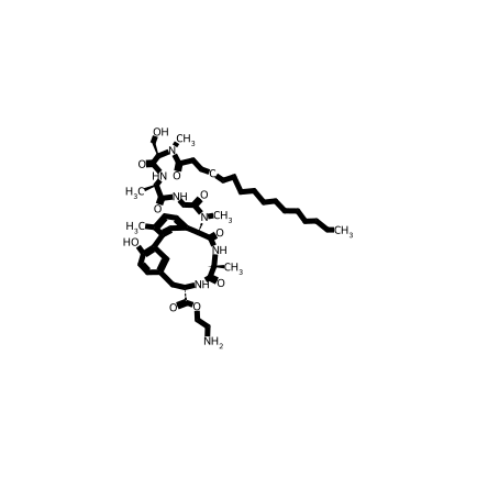 CCCCCCCCCCCCCCCC(=O)N(C)[C@H](CO)C(=O)N[C@H](C)C(=O)NCC(=O)N(C)[C@@H]1C(=O)N[C@@H](C)C(=O)N[C@H](C(=O)OCCN)Cc2ccc(O)c(c2)-c2cc1ccc2C